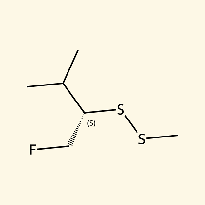 CSS[C@H](CF)C(C)C